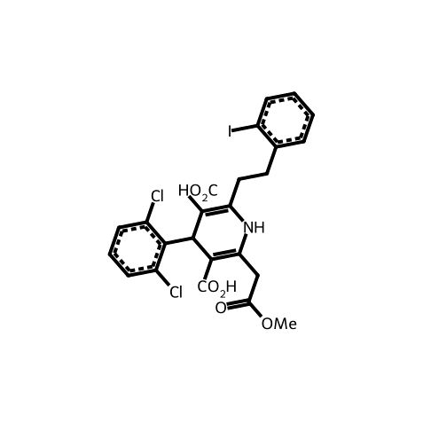 COC(=O)CC1=C(C(=O)O)C(c2c(Cl)cccc2Cl)C(C(=O)O)=C(CCc2ccccc2I)N1